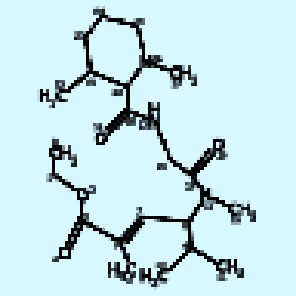 CCOC(=O)/C(C)=C/C(C(C)C)N(C)C(=O)CNC(=O)C1C(C)CCCN1C